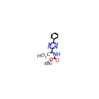 CC(C)(C)OC(=O)NC(C(=O)O)c1nnc(-c2ccccc2)nn1